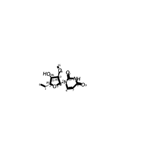 CC[C@H]1O[C@@H](n2ccc(=O)[nH]c2=O)[C@H](OC)[C@H]1O